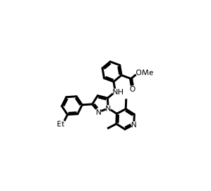 CCc1cccc(-c2cc(Nc3ccccc3C(=O)OC)n(-c3c(C)cncc3C)n2)c1